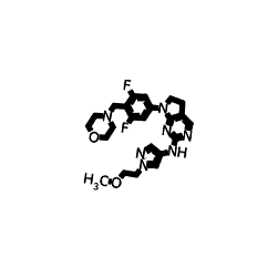 COCCn1cc(Nc2ncc3c(n2)N(c2cc(F)c(CN4CCOCC4)c(F)c2)CC3)cn1